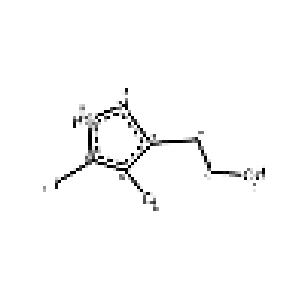 OCCc1n[nH]c(I)c1Cl